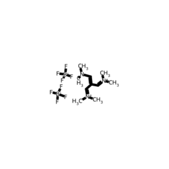 CN(C)C=C(C=[N+](C)C)C=[N+](C)C.F[B-](F)(F)F.F[B-](F)(F)F